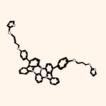 c1coc(OCCCOc2ccc(-c3ccc4c5c3c3ccccc3n5-c3cccc5c3B4c3ccc(-c4ccc(OCCCOc6ccco6)cc4)c4c6ccccc6n-5c34)cc2)c1